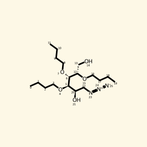 CCCCO[C@@H]([C@H](OCCCC)[C@H](CO)OCCCC)[C@H](O)CN=[N+]=[N-]